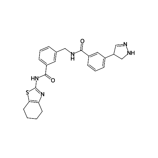 O=C(NCc1cccc(C(=O)Nc2nc3c(s2)CCCC3)c1)c1cccc(C2C=NNC2)c1